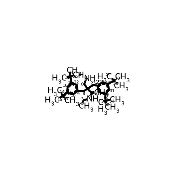 C=C(NCC)C(CN)(Cc1cc(C(C)(C)C)cc(C(C)(C)C)c1)Cc1cc(C(C)(C)C)cc(C(C)(C)C)c1